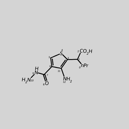 CCCC(C(=O)O)c1scc(C(=O)NN)c1N